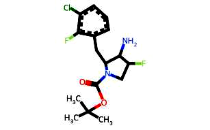 CC(C)(C)OC(=O)N1CC(F)C(N)C1Cc1cccc(Cl)c1F